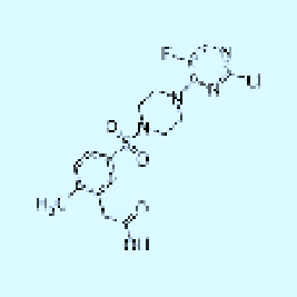 Cc1ccc(S(=O)(=O)N2CCN(c3nc(Cl)ncc3F)CC2)cc1CC(=O)O